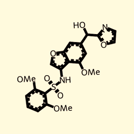 COc1cccc(OC)c1S(=O)(=O)Nc1coc2cc(C(O)c3ncco3)cc(OC)c12